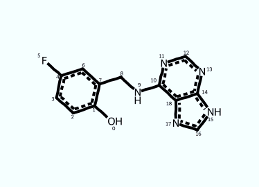 Oc1ccc(F)cc1CNc1ncnc2[nH]cnc12